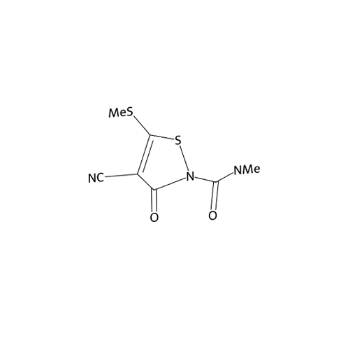 CNC(=O)n1sc(SC)c(C#N)c1=O